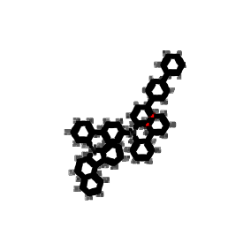 c1ccc(-c2ccc(-c3ccc(N(c4ccc(-c5ccccc5-n5c6ccccc6c6c7ccccc7ccc65)cc4)c4ccccc4-c4ccccc4)cc3)cc2)cc1